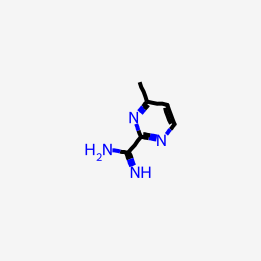 Cc1ccnc(C(=N)N)n1